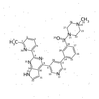 Cc1cccc(-c2nc(-c3cncc(-c4cccc(C(=O)N5CCN(C)CC5)c4)c3)c3cc[nH]c3n2)n1